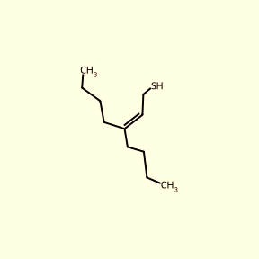 CCCCC(=CCS)CCCC